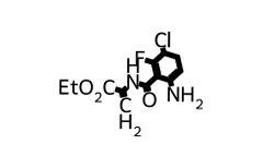 C=C(NC(=O)C1=C(F)C(Cl)CC=C1N)C(=O)OCC